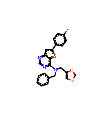 Fc1ccc(-c2cc3ncnc(N(CC4=COCO4)Cc4ccccc4)c3s2)cc1